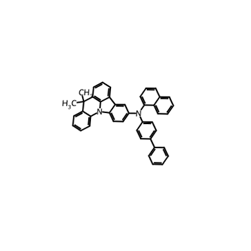 CC1(C)c2ccccc2-n2c3ccc(N(c4ccc(-c5ccccc5)cc4)c4cccc5ccccc45)cc3c3cccc1c32